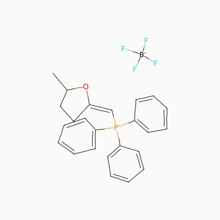 CC1CCC(=C[P+](c2ccccc2)(c2ccccc2)c2ccccc2)O1.F[B-](F)(F)F